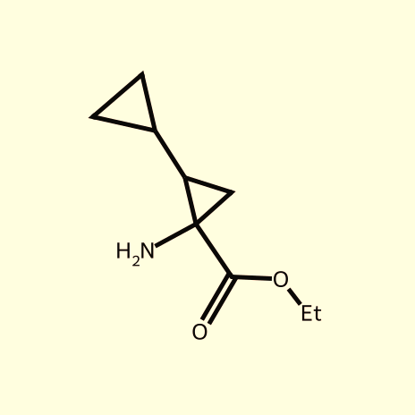 CCOC(=O)C1(N)CC1C1CC1